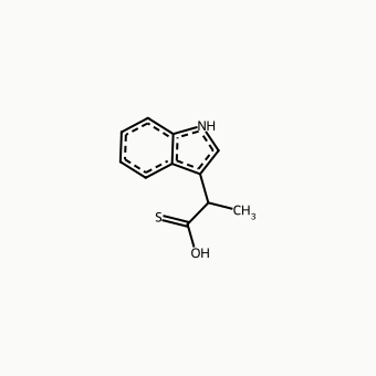 CC(C(O)=S)c1c[nH]c2ccccc12